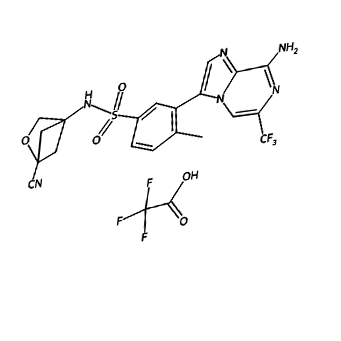 Cc1ccc(S(=O)(=O)NC23COC(C#N)(C2)C3)cc1-c1cnc2c(N)nc(C(F)(F)F)cn12.O=C(O)C(F)(F)F